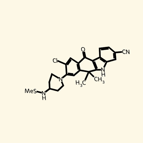 CSNC1CCN(c2cc3c(cc2Cl)C(=O)c2c([nH]c4cc(C#N)ccc24)C3(C)C)CC1